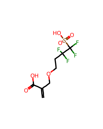 C=C(COCCC(F)(F)C(F)(F)S(=O)(=O)O)C(=O)O